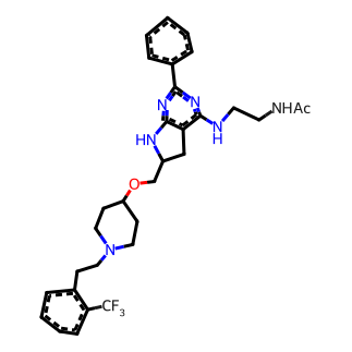 CC(=O)NCCNc1nc(-c2ccccc2)nc2c1CC(COC1CCN(CCc3ccccc3C(F)(F)F)CC1)N2